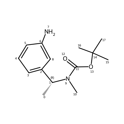 C[C@H](c1cccc(N)c1)N(C)C(=O)OC(C)(C)C